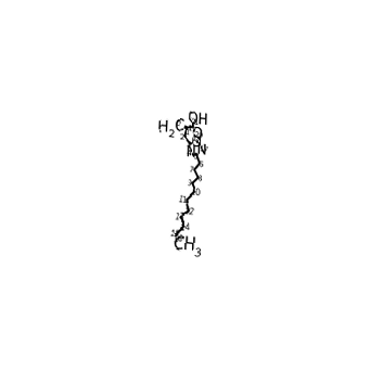 C=C(Cc1nc(CCCCCCCCCCC)no1)C(=O)O